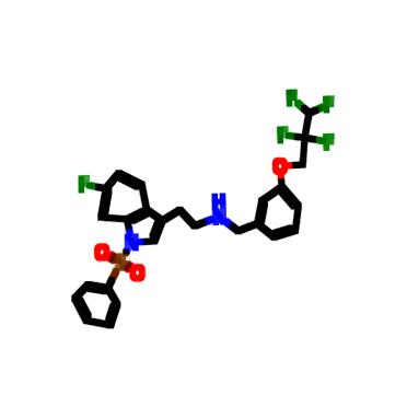 O=S(=O)(c1ccccc1)n1cc(CCNCc2cccc(OCC(F)(F)C(F)F)c2)c2ccc(F)cc21